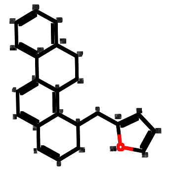 C1=Cc2ccc3c(c2C(Cc2ccco2)C1)CCc1ccccc1-3